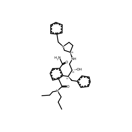 CCCN(CCC)C(=O)c1cccc(C(N)=O)c1[C@H](Cc1ccccc1)[C@@H](O)CN[C@@H]1CCN(Cc2ccccc2)C1